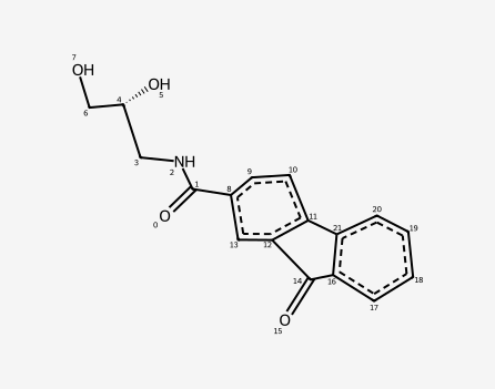 O=C(NC[C@@H](O)CO)c1ccc2c(c1)C(=O)c1ccccc1-2